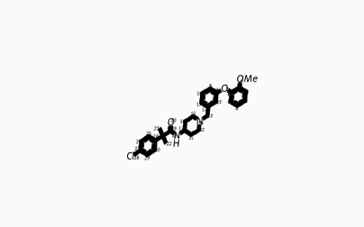 COc1ccccc1Oc1cccc(CN2CCC(NC(=O)C(C)(C)c3ccc(Cl)cc3)CC2)c1